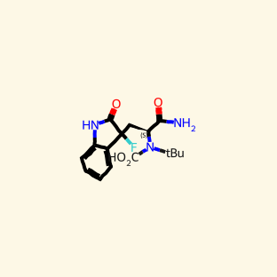 CC(C)(C)N(C(=O)O)[C@@H](CC1(F)C(=O)Nc2ccccc21)C(N)=O